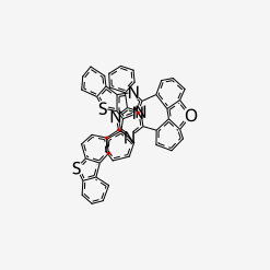 c1ccc(-c2nc(-c3ccc4sc5ccccc5c4c3)nc(-c3cccc4oc5cccc(-c6nc(-c7ccccc7)c7sc8ccccc8c7n6)c5c34)n2)cc1